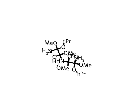 CCCOC([SiH3])(OC)C(C)(NC(C)(OC)C([SiH3])(OC)OCCC)OC